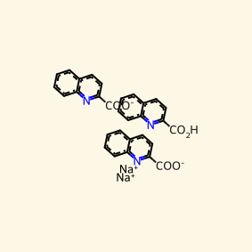 O=C(O)c1ccc2ccccc2n1.O=C([O-])c1ccc2ccccc2n1.O=C([O-])c1ccc2ccccc2n1.[Na+].[Na+]